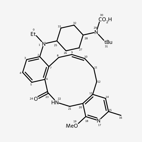 CCN(c1cccc2c1CC=CCCc1cc(C)nc(OC)c1CNC2=O)C1CCC(N(C(=O)O)C(C)(C)C)CC1